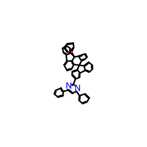 c1ccc(-c2cc(-c3ccccc3)nc(-c3ccc4c(c3)-c3ccccc3C43c4ccccc4C4(c5ccccc5)c5ccccc5-c5cccc3c54)n2)cc1